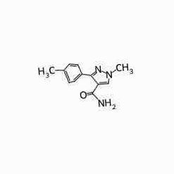 Cc1ccc(-c2nn(C)cc2C(N)=O)cc1